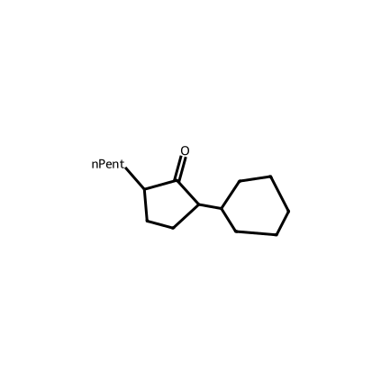 CCCCCC1CCC(C2CCCCC2)C1=O